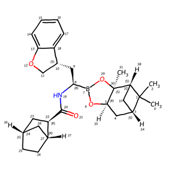 CC1(C)[C@@H]2C[C@H]3OB([C@H](C[C@@H]4COc5ccccc54)NC(=O)[C@@H]4C[C@H]5CC[C@@H]4C5)O[C@@]3(C)[C@H]1C2